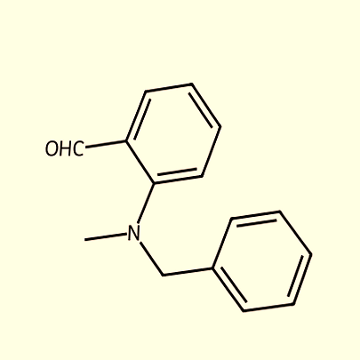 CN(Cc1ccccc1)c1ccccc1C=O